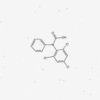 O=C(O)N(c1ccccc1)c1c(Cl)cc(Cl)cc1Cl